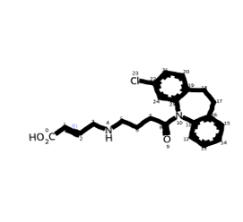 O=C(O)/C=C/CNCCCC(=O)N1c2ccccc2CCc2ccc(Cl)cc21